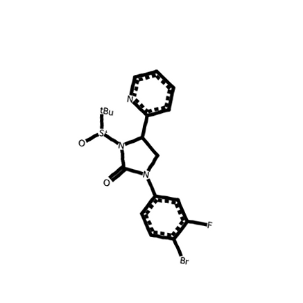 CC(C)(C)[S+]([O-])N1C(=O)N(c2ccc(Br)c(F)c2)CC1c1ccccn1